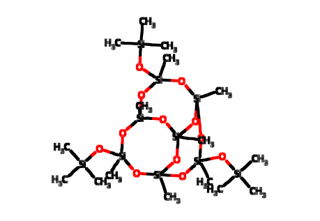 C[Si](C)(C)O[Si]1(C)O[Si]2(C)O[Si](C)(O[Si](C)(C)C)O[Si]3(C)O[Si](C)(O[Si](C)(C)C)O[Si](C)(O1)O[Si](C)(O2)O3